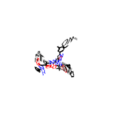 CCC[C@H](NC(=O)[C@@H]1C[C@]2(CC(c3cc(C)c(OC)c(C)c3)=NO2)CN1C(=O)[C@@H](NC(=O)[C@@H]1C[C@H]1c1ccccc1)C(C)(C)OC)C(=O)C(=O)NC1CC1